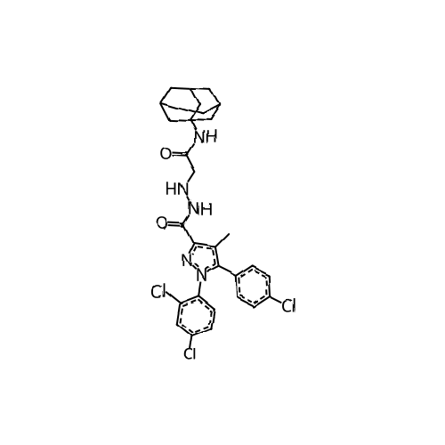 Cc1c(C(=O)NNCC(=O)NC23CC4CC(CC(C4)C2)C3)nn(-c2ccc(Cl)cc2Cl)c1-c1ccc(Cl)cc1